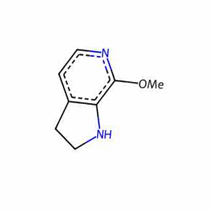 COc1nccc2c1NCC2